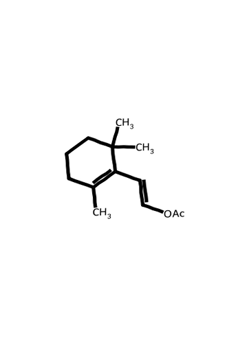 CC(=O)OC=CC1=C(C)CCCC1(C)C